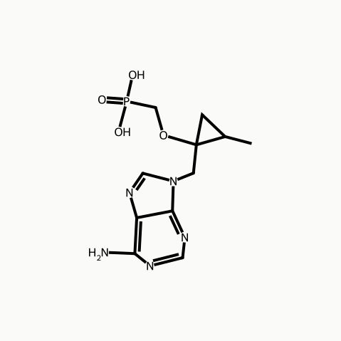 CC1CC1(Cn1cnc2c(N)ncnc21)OCP(=O)(O)O